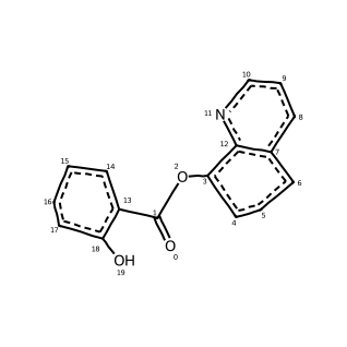 O=C(Oc1cccc2cccnc12)c1ccccc1O